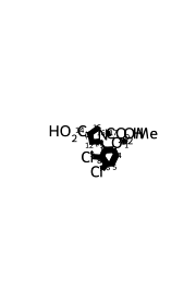 COCOc1ccc(Cl)c(Cl)c1[C@H]1C[C@H](C(=O)O)CN1C(=O)O